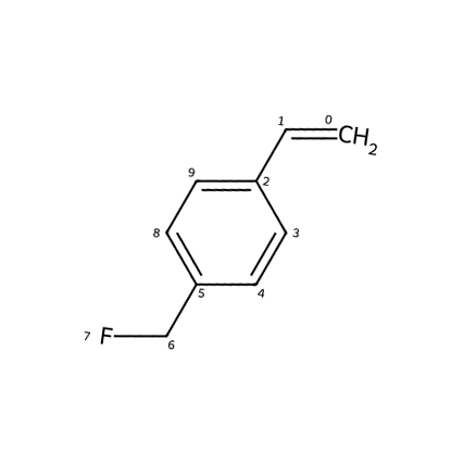 C=Cc1ccc(CF)cc1